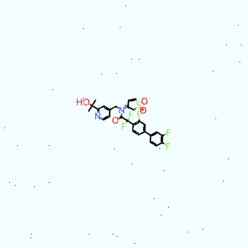 CC(C)(O)c1cc(CN(C(=O)C(F)(F)c2ccc(-c3ccc(F)c(F)c3)cc2F)[C@@H]2C=CS(=O)(=O)C2)ccn1